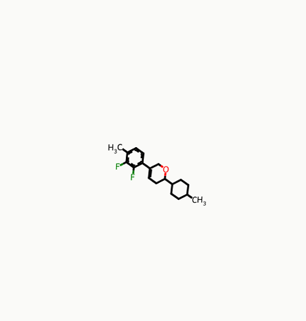 Cc1ccc(C2=CCC(C3CCC(C)CC3)OC2)c(F)c1F